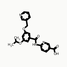 CC(C)Oc1cc(OCc2cccnc2)cc(C(=O)Nc2ccc(C(=O)O)cn2)c1